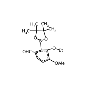 CCOc1c(OC)ccc(C=O)c1B1OC(C)(C)C(C)(C)O1